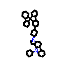 c1ccc(-n2c3ccccc3c3ccc4c(ccn4-c4ccc(-c5ccc6c(c5)C(c5ccccc5)(c5ccccc5)c5ccccc5-6)cc4)c32)cc1